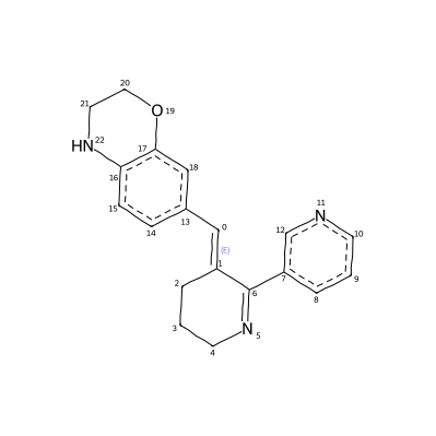 C(=C1/CCCN=C1c1cccnc1)/c1ccc2c(c1)OCCN2